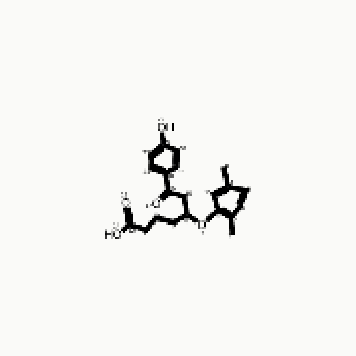 Cc1ccc(C)c(OC(CCCC(=O)O)CC(=O)c2ccc(O)cc2)c1